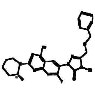 CCn1c(COCc2ccccc2)nn(-c2cc3c(C(C)C)cc(N4CCCC[C@@H]4C)nc3cc2F)c1=O